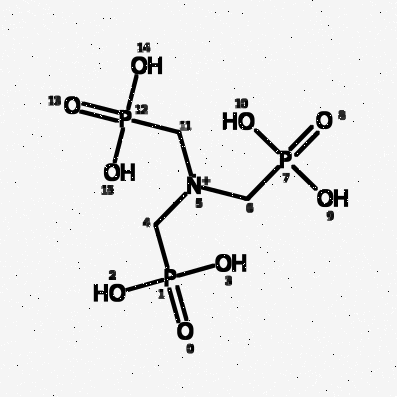 O=P(O)(O)C[N+](CP(=O)(O)O)CP(=O)(O)O